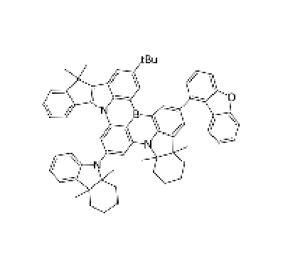 CC(C)(C)c1cc2c3c(c1)c1c(n3-c3cc(N4c5ccccc5C5(C)CCCCC45C)cc4c3B2c2cc(-c3cccc5oc6ccccc6c35)cc3c2N4C2(C)CCCCC32C)-c2ccccc2C1(C)C